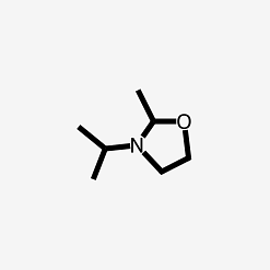 CC(C)N1CCOC1C